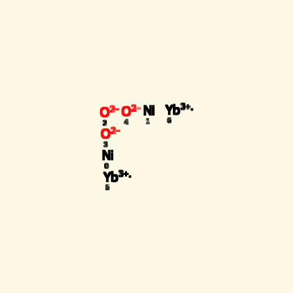 [Ni].[Ni].[O-2].[O-2].[O-2].[Yb+3].[Yb+3]